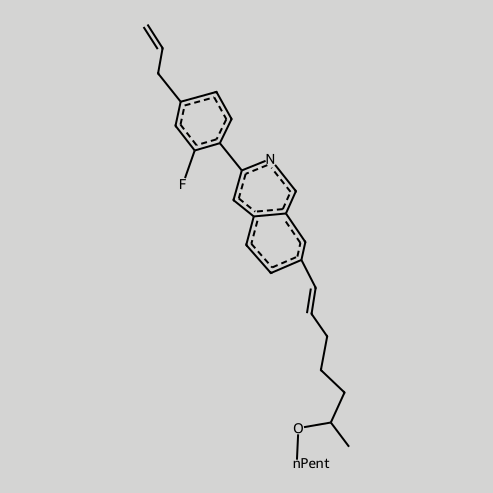 C=CCc1ccc(-c2cc3ccc(C=CCCCC(C)OCCCCC)cc3cn2)c(F)c1